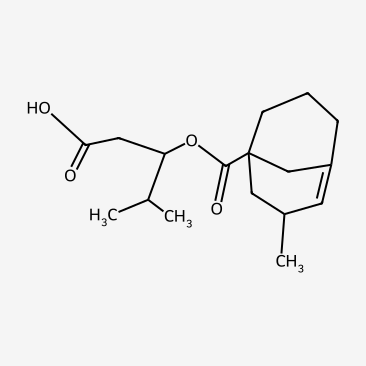 CC1C=C2CCCC(C(=O)OC(CC(=O)O)C(C)C)(C2)C1